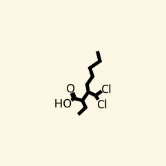 CCCCCC(C(Cl)Cl)C(CC)C(=O)O